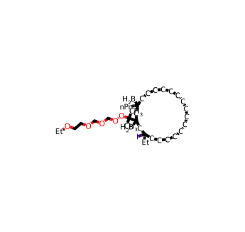 BC1(CCC)CCCCCCCCCCCCCCCC(I)(CC)CC(B)(C(C)(C)OOCOCOCCOCC)C1